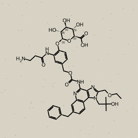 CCOCc1nc2c(NC(=O)OCc3ccc(O[C@@H]4O[C@H](C(=O)O)[C@@H](O)[C@H](O)[C@H]4O)c(NC(=O)CCN)c3)nc3cc(Cc4ccccc4)ccc3c2n1CC(C)(C)O